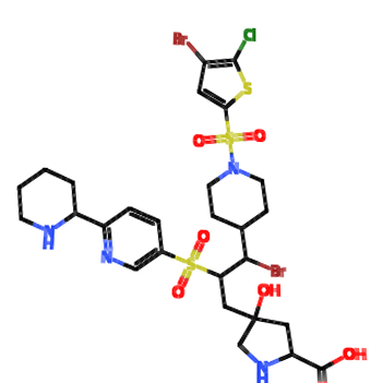 O=C(O)C1CC(O)(CC(C(Br)C2CCN(S(=O)(=O)c3cc(Br)c(Cl)s3)CC2)S(=O)(=O)c2ccc(C3CCCCN3)nc2)CN1